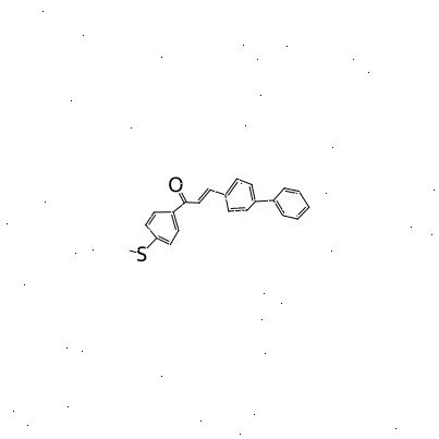 CSc1ccc(C(=O)C=Cc2ccc(-c3ccccc3)cc2)cc1